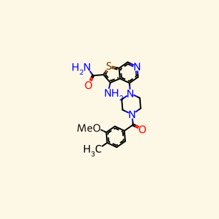 COc1cc(C(=O)N2CCN(c3cncc4sc(C(N)=O)c(N)c34)CC2)ccc1C